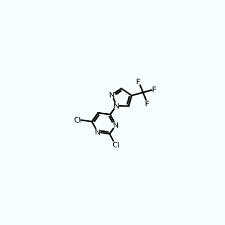 FC(F)(F)c1cnn(-c2cc(Cl)nc(Cl)n2)c1